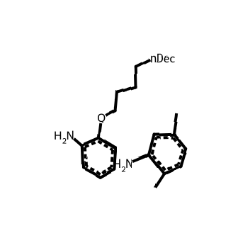 CCCCCCCCCCCCCCOc1ccccc1N.Cc1ccc(C)c(N)c1